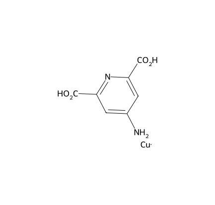 Nc1cc(C(=O)O)nc(C(=O)O)c1.[Cu]